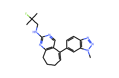 Cn1nnc2ccc(C3=CCCCc4nc(NCC(C)(C)F)ncc43)cc21